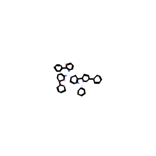 C1=CCCC(N2C3=C(CC(N(C4=CCCC5C4OC4C=CC=CC45)c4cccc5oc6ccccc6c45)C=C3)C3C=CC(C4C=CC=CC4)CC32)=C1